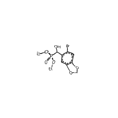 CCOP(=O)(OCC)C(O)c1cc2c(cc1Br)OCO2